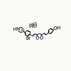 Cl.Cl.O=C(/C=C/c1ccc(O)cc1)CC(=O)/C=C/c1ccc(N2CCNCC2)cc1Br